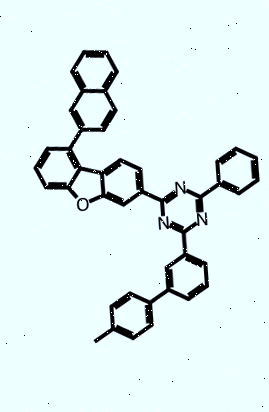 Cc1ccc(-c2cccc(-c3nc(-c4ccccc4)nc(-c4ccc5c(c4)oc4cccc(-c6ccc7ccccc7c6)c45)n3)c2)cc1